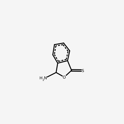 NC1OC(=S)c2ccccc21